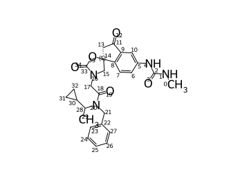 CNC(=O)Nc1ccc2c(c1)C(=O)C[C@@]21CN(CC(=O)N(Cc2ccccc2)C(C)C2CC2)C(=O)O1